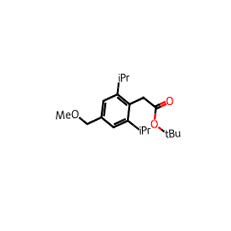 COCc1cc(C(C)C)c(CC(=O)OC(C)(C)C)c(C(C)C)c1